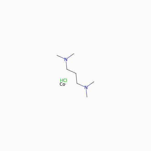 CN(C)CCCN(C)C.Cl.[Co]